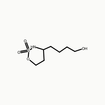 O=S1(=O)NC(CCCCO)CCO1